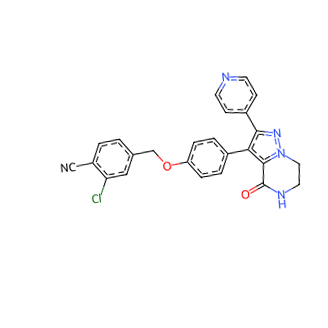 N#Cc1ccc(COc2ccc(-c3c(-c4ccncc4)nn4c3C(=O)NCC4)cc2)cc1Cl